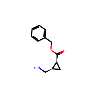 NC[C@@H]1C[C@@H]1C(=O)OCc1ccccc1